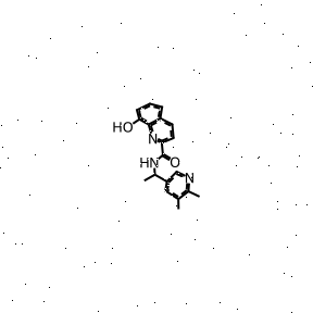 Cc1cc(C(C)NC(=O)c2ccc3cccc(O)c3n2)cnc1C